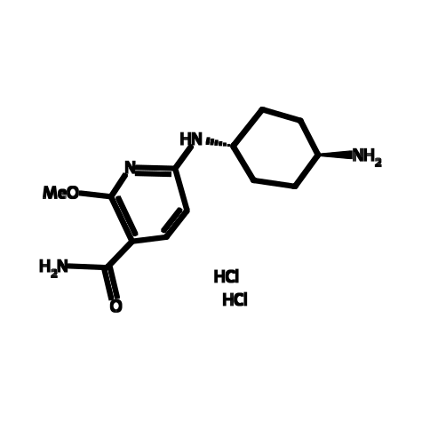 COc1nc(N[C@H]2CC[C@H](N)CC2)ccc1C(N)=O.Cl.Cl